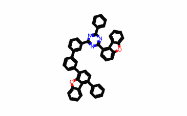 c1ccc(-c2nc(-c3cccc(-c4cccc(-c5ccc(-c6ccccc6)c6c5oc5ccccc56)c4)c3)nc(-c3cccc4oc5ccccc5c34)n2)cc1